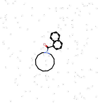 O=C(c1cccc2ccccc12)N1CCCCCCCCCCC1